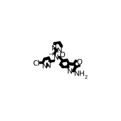 C[C@H](c1ncccn1)N(Cc1ccc(Cl)nn1)C(=O)c1ccc2nc(N)c3c(c2c1)COC3